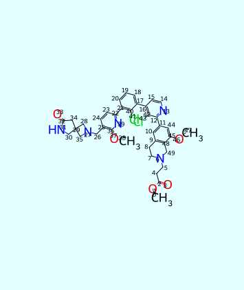 COC(=O)CCN1CCc2cc(-c3nccc(-c4cccc(-c5ccc(CN6CC7(CNC(=O)C7)C6)c(OC)n5)c4Cl)c3Cl)cc(OC)c2C1